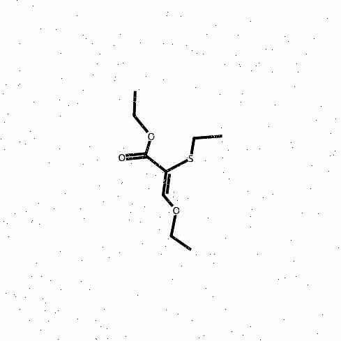 CCOC=C(SCC)C(=O)OCC